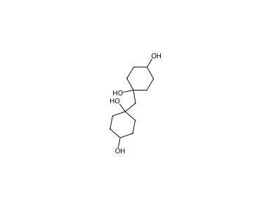 OC1CCC(O)(CC2(O)CCC(O)CC2)CC1